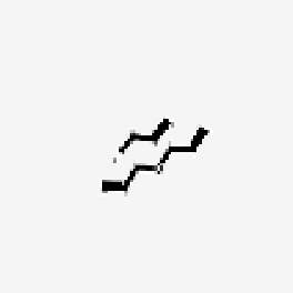 C=CCI.C=CCOCC=C